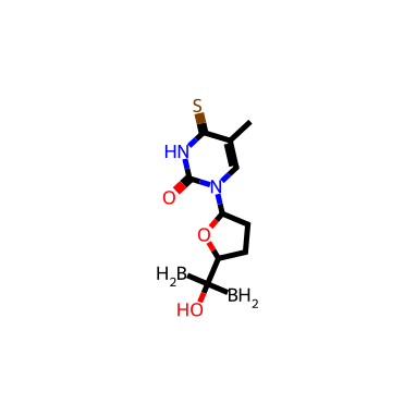 BC(B)(O)C1CCC(n2cc(C)c(=S)[nH]c2=O)O1